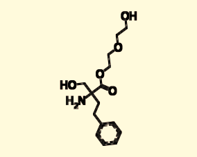 NC(CO)(CCc1ccccc1)C(=O)OCCOCCO